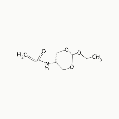 C=CC(=O)NC1COC(OCC)OC1